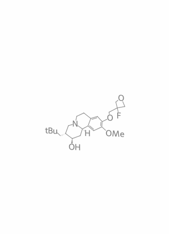 COc1cc2c(cc1OCC1(F)COC1)CCN1C[C@@H](CC(C)(C)C)[C@H](O)C[C@H]21